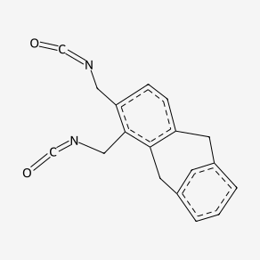 O=C=NCc1ccc2c(c1CN=C=O)Cc1cccc(c1)C2